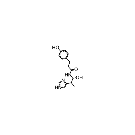 CC(c1c[nH]cn1)C(O)NC(=O)CCc1ccc(O)cc1